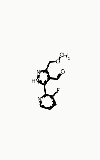 COCc1n[nH]c(-c2ncccc2F)c1C=O